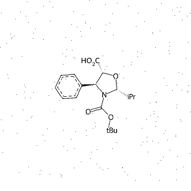 CC(C)[C@H]1O[C@@H](C(=O)O)[C@H](c2ccccc2)N1C(=O)OC(C)(C)C